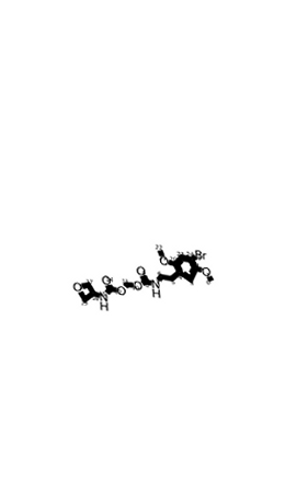 COc1cc(CCNC(=O)OCOC(=O)NC2COC2)c(OC)cc1Br